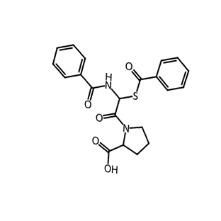 O=C(NC(SC(=O)c1ccccc1)C(=O)N1CCCC1C(=O)O)c1ccccc1